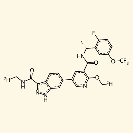 [2H]CNC(=O)c1n[nH]c2cc(-c3cnc(OC[2H])c(C(=O)N[C@H](C)c4cc(OC(F)(F)F)ccc4F)c3)ccc12